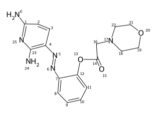 Nc1ccc(/N=N/c2ccccc2OC(=O)CN2CCOCC2)c(N)n1